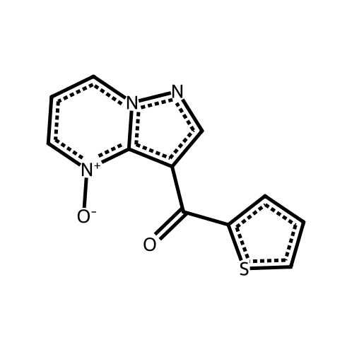 O=C(c1cccs1)c1cnn2ccc[n+]([O-])c12